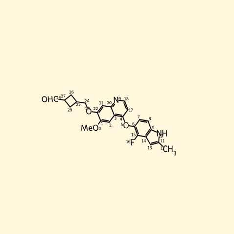 COc1cc2c(Oc3ccc4[nH]c(C)cc4c3F)ccnc2cc1OCC1CC(C=O)C1